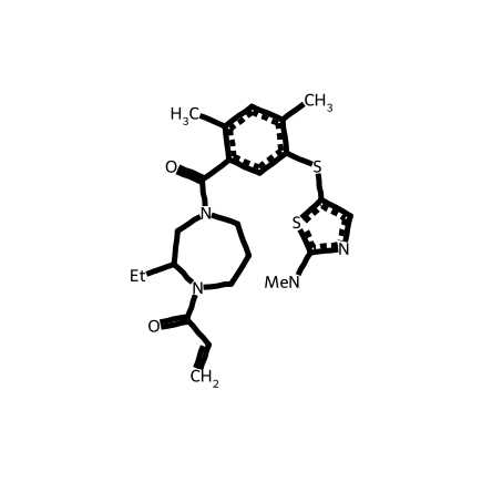 C=CC(=O)N1CCCN(C(=O)c2cc(Sc3cnc(NC)s3)c(C)cc2C)CC1CC